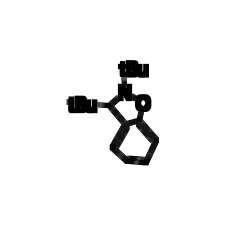 CC(C)(C)C1c2ccccc2ON1C(C)(C)C